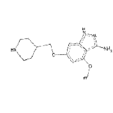 CC(C)Oc1cc(OCC2CCNCC2)cc2[nH]nc(N)c12